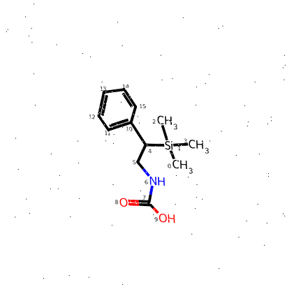 C[Si](C)(C)C(CNC(=O)O)c1ccccc1